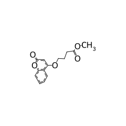 COC(=O)CCCOc1cc(=O)oc2ccccc12